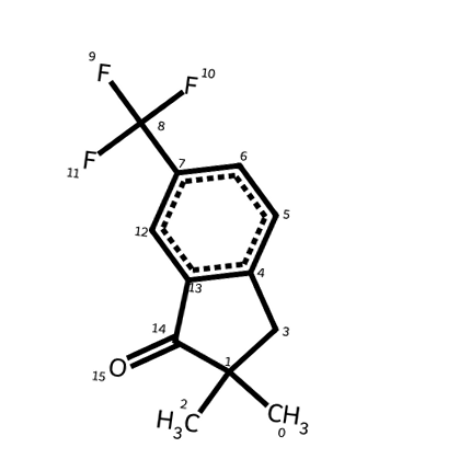 CC1(C)Cc2ccc(C(F)(F)F)cc2C1=O